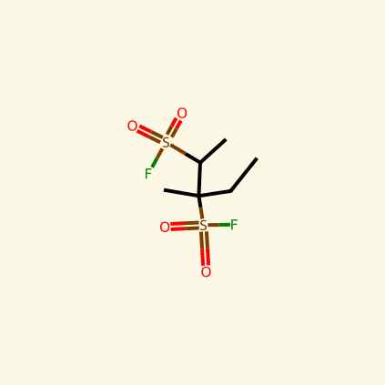 CCC(C)(C(C)S(=O)(=O)F)S(=O)(=O)F